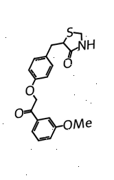 COc1cccc(C(=O)COc2ccc(CC3SCNC3=O)cc2)c1